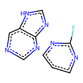 Fc1ncccn1.c1ncc2[nH]cnc2n1